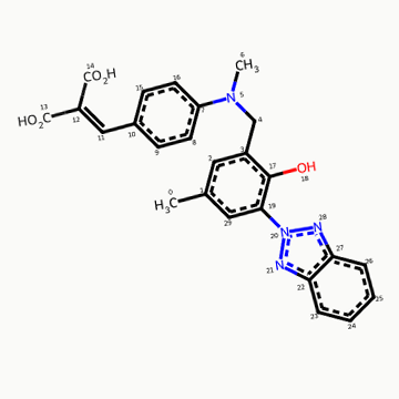 Cc1cc(CN(C)c2ccc(C=C(C(=O)O)C(=O)O)cc2)c(O)c(-n2nc3ccccc3n2)c1